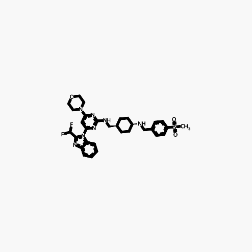 CS(=O)(=O)c1ccc(CN[C@H]2CC[C@H](CNc3nc(N4CCOCC4)cc(-n4c(C(F)F)nc5ccccc54)n3)CC2)cc1